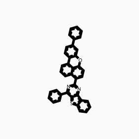 c1ccc(-c2ccc3c(c2)Oc2ccc(-c4nc(-c5ccccc5)c5sc6ccccc6c5n4)c4cccc-3c24)cc1